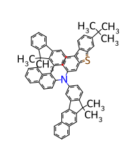 CC(C)(C)c1ccc2c(c1)sc1cc(N(c3ccc4c(c3)-c3cc5ccccc5cc3C4(C)C)c3ccc4ccccc4c3-c3cccc4c3C(C)(C)c3ccccc3-4)ccc12